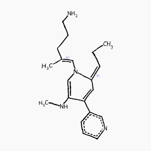 CC/C=C1/C=C(c2cccnc2)C(NC)=CN1/C=C(\C)CCCN